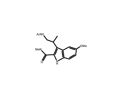 CNC(=O)c1[nH]c2ccc(OC)cc2c1C(C)CNC(C)=O